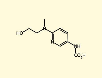 CN(CCO)c1ccc(NC(=O)O)cn1